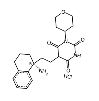 Cl.N[C@@]1(CCC2C(=O)NC(=O)N(C3CCOCC3)C2=O)CCCc2ccccc21